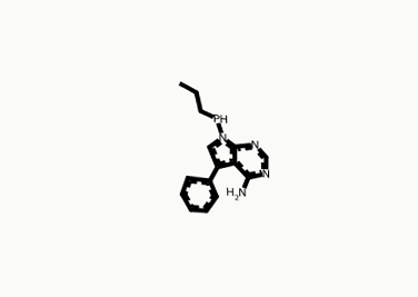 CCCPn1cc(-c2ccccc2)c2c(N)ncnc21